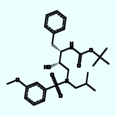 COc1cccc(S(=O)(=O)N(CC(C)C)C[C@H](O)[C@H](Cc2ccccc2)NC(=O)OC(C)(C)C)c1